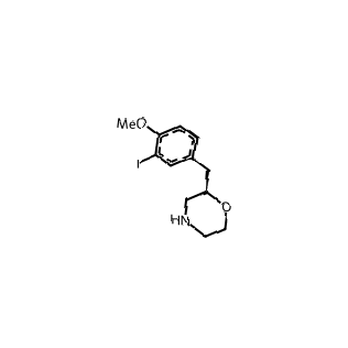 COc1ccc(C[C@@H]2CNCCO2)cc1I